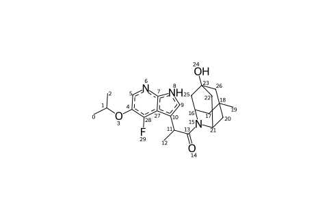 CC(C)Oc1cnc2[nH]cc(C(C)C(=O)N3C4CC5(C)CC3CC(O)(C4)C5)c2c1F